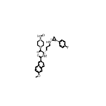 COc1ccc2cc(C(=O)N[C@@H](CCCN[C@@H]3C[C@H]3c3ccc(F)cc3)C(=O)N3CCN([SH]=O)CC3)ccc2c1